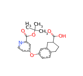 CC(C)(C)OC(=O)c1cc(Oc2ccc3c(c2)CC(C(=O)O)CC3)ccn1